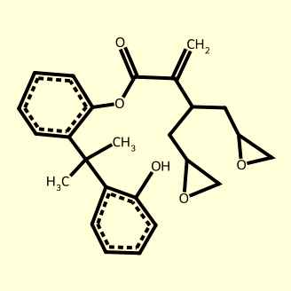 C=C(C(=O)Oc1ccccc1C(C)(C)c1ccccc1O)C(CC1CO1)CC1CO1